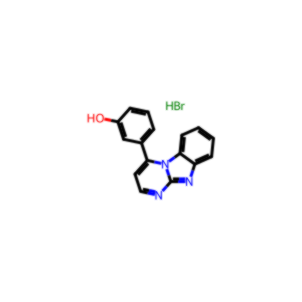 Br.Oc1cccc(-c2ccnc3nc4ccccc4n23)c1